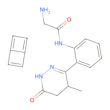 CC1CC(=O)NN=C1c1ccccc1NC(=O)CN.c1cc2ccc1-2